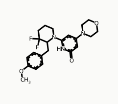 COc1ccc(CC2N(c3cc(N4CCOCC4)cc(=O)[nH]3)CCCC2(F)F)cc1